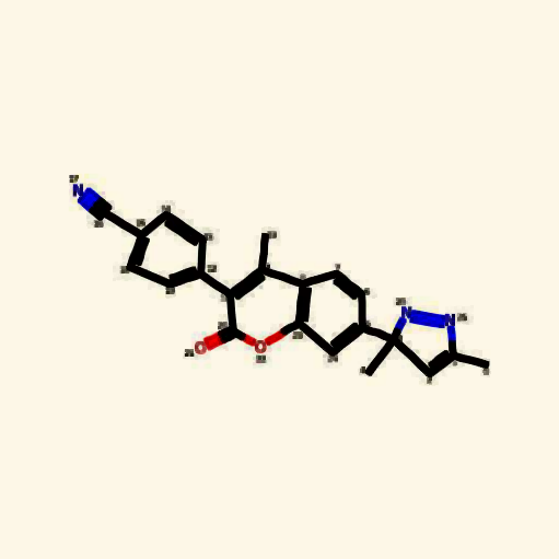 CC1=CC(C)(c2ccc3c(C)c(-c4ccc(C#N)cc4)c(=O)oc3c2)N=N1